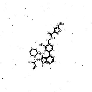 C=CC(=O)N[C@@H]1CCCC[C@H]1Nc1n[nH]c2nccc(-c3ccc(CNC(=O)c4cc(C(C)(C)C)on4)c(F)c3)c12